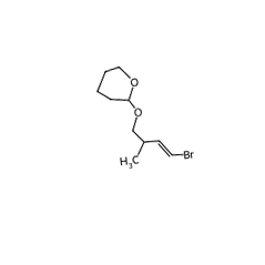 CC(C=CBr)COC1CCCCO1